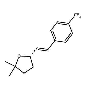 CC1(C)CC[C@@H](/C=C/c2ccc(C(F)(F)F)cc2)O1